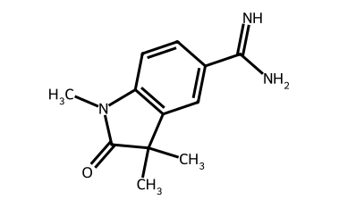 CN1C(=O)C(C)(C)c2cc(C(=N)N)ccc21